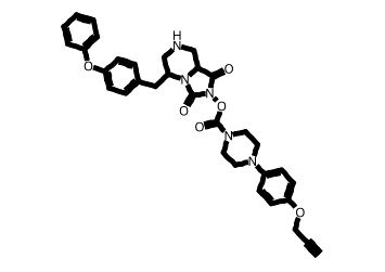 C#CCOc1ccc(N2CCN(C(=O)ON3C(=O)C4CNCC(Cc5ccc(Oc6ccccc6)cc5)N4C3=O)CC2)cc1